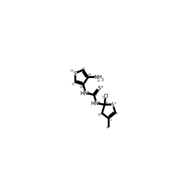 CC1=CSC(Cl)(NC(=S)Nc2cscc2N)C1